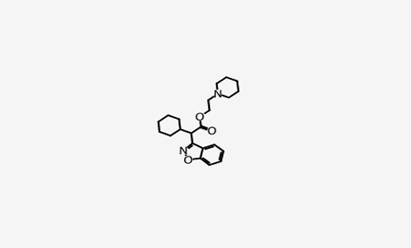 O=C(OCCN1CCCCC1)C(c1noc2ccccc12)C1CCCCC1